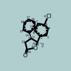 C[C@]1(c2ccc(Cl)cc2)OC(=O)C[C@H]1c1ccccc1